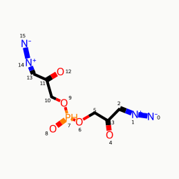 [N-]=[N+]=CC(=O)CO[PH](=O)OCC(=O)C=[N+]=[N-]